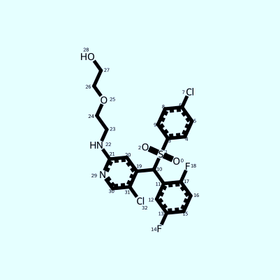 O=S(=O)(c1ccc(Cl)cc1)C(c1cc(F)ccc1F)c1cc(NCCOCCO)ncc1Cl